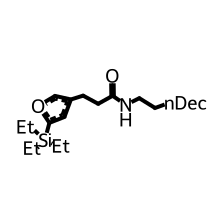 CCCCCCCCCCCCNC(=O)CCc1coc([Si](CC)(CC)CC)c1